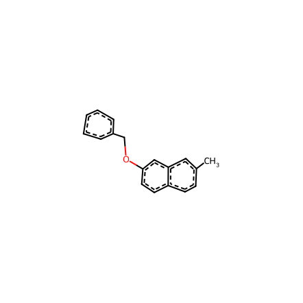 Cc1ccc2ccc(OCc3ccccc3)cc2c1